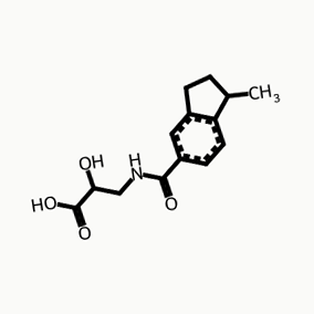 CC1CCc2cc(C(=O)NCC(O)C(=O)O)ccc21